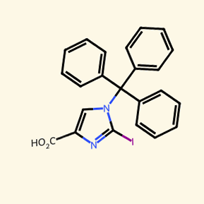 O=C(O)c1cn(C(c2ccccc2)(c2ccccc2)c2ccccc2)c(I)n1